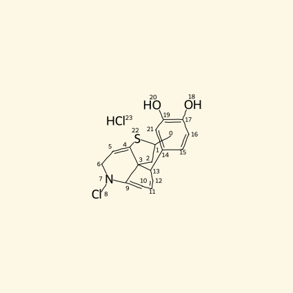 CC1CC23C(=CCN(Cl)C2=CC=CC3c2ccc(O)c(O)c2)S1.Cl